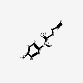 C#CCCC(=O)N(C)c1ccc(F)cc1